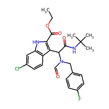 CCOC(=O)c1[nH]c2cc(Cl)ccc2c1C(C(=O)NC(C)(C)C)N(C=O)Cc1ccc(F)cc1